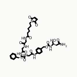 NC(=O)C[C@H](CO)NC(=O)OCc1ccc(NC(=O)CNC(=O)[C@H](Cc2ccccc2)NC(=O)CNC(=O)CNC(=O)CCCCCN2C(=O)C=CC2=O)cc1